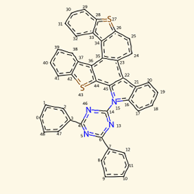 c1ccc(-c2nc(-c3ccccc3)nc(-n3c4ccccc4c4c5ccc6sc7ccccc7c6c5c5c6ccccc6sc5c43)n2)cc1